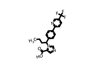 CCCC(c1ccc(-c2ccc(C(F)(F)F)cn2)cc1)n1cncc1C(=O)O